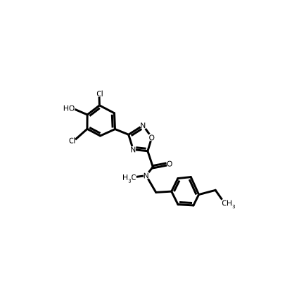 CCc1ccc(CN(C)C(=O)c2nc(-c3cc(Cl)c(O)c(Cl)c3)no2)cc1